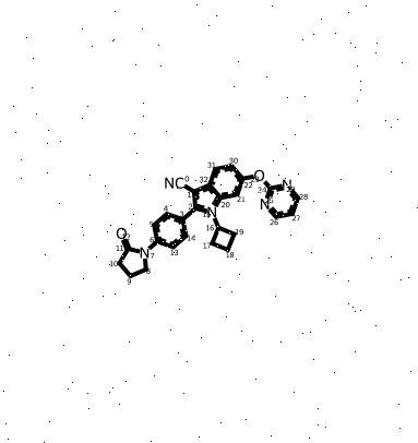 N#Cc1c(-c2ccc(N3CCCC3=O)cc2)n(C2CCC2)c2cc(Oc3ncccn3)ccc12